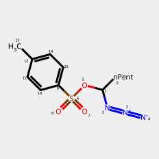 CCCCCC(N=[N+]=[N-])OS(=O)(=O)c1ccc(C)cc1